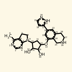 Cc1ncnc2c1CCN2C1CC(Oc2cc(-c3ccn[nH]3)cc3c2CNCC3)C(O)C1O